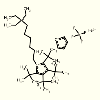 CC[N+](CC)(CC)CCCCCC[c-]1c(C(C)(C)C)c(C(C)(C)C)c(C(C)(C)C)c1C(C)(C)C.F[B-](F)(F)F.[Fe+2].c1cc[cH-]c1